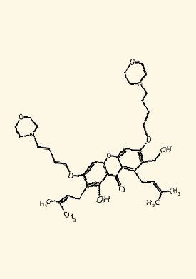 CC(C)=CCc1c(OCCCCN2CCOCC2)cc2oc3cc(OCCCCN4CCOCC4)c(CO)c(CC=C(C)C)c3c(=O)c2c1O